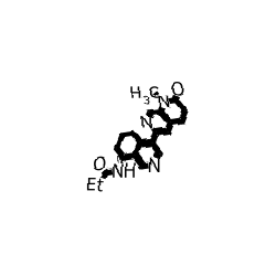 CCC(=O)N[C@@H]1CCCc2c(-c3cc4c(cn3)N(C)C(=O)CC4)cncc21